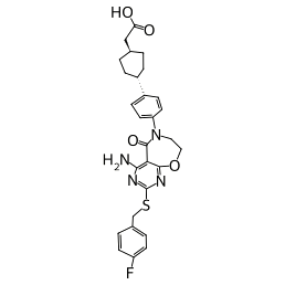 Nc1nc(SCc2ccc(F)cc2)nc2c1C(=O)N(c1ccc([C@H]3CC[C@H](CC(=O)O)CC3)cc1)CCO2